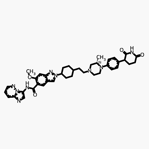 COc1cc2nn(C3CCC(CCN4CCN(c5ccc(C6CCC(=O)NC6=O)cc5)[C@@H](C)C4)CC3)cc2cc1C(=O)Nc1cnc2cccnn12